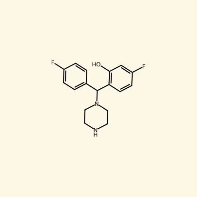 Oc1cc(F)ccc1C(c1ccc(F)cc1)N1CCNCC1